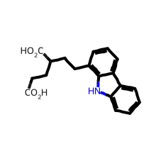 O=C(O)CCC(CCc1cccc2c1[nH]c1ccccc12)C(=O)O